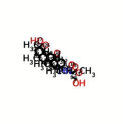 COC(=O)[C@H](CCO)NC(=O)[C@H]1CC[C@]2(C)[C@H]3C(=O)C=C4[C@@H]5C[C@@](C)(C(=O)O)CC[C@]5(C)CC[C@@]4(C)[C@]3(C)CC[C@H]2C1(C)C